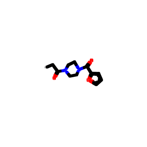 [CH2]CC(=O)N1CCN(C(=O)c2ccco2)CC1